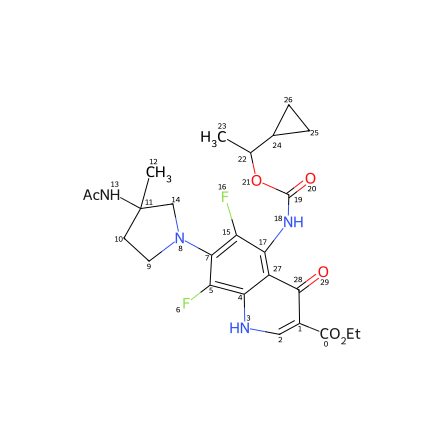 CCOC(=O)c1c[nH]c2c(F)c(N3CCC(C)(NC(C)=O)C3)c(F)c(NC(=O)OC(C)C3CC3)c2c1=O